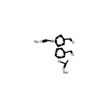 CC(=O)[O-].O=Cc1ccccc1.O=Cc1ccccc1.[BH3-]C#N.[Na+].[Na+]